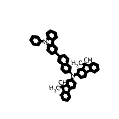 CC1(C)c2ccccc2-c2ccc(N(c3ccc4c(c3)C(C)(C)c3ccccc3-4)c3ccc4cc(-c5ccc6c(c5)c5ccccc5n6-c5ccccc5)ccc4c3)cc21